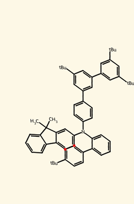 CC(C)(C)c1ccc(-c2ccccc2N(c2ccc(-c3cc(-c4cc(C(C)(C)C)cc(C(C)(C)C)c4)cc(C(C)(C)C)c3)cc2)c2ccc3c(c2)C(C)(C)c2ccccc2-3)cc1